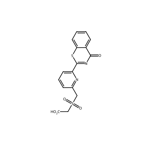 O=C(O)CS(=O)(=O)Cc1cccc(-c2nc(=O)c3ccccc3s2)n1